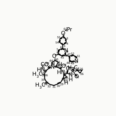 CC(C)Oc1ccc(-c2cc(O[C@@H]3C[C@H]4C(=O)N[C@]5(C(=O)NS(=O)(=O)C6(C)CC6)C[C@H]5C=CCC[C@@H](C)C[C@@H](C)[C@H](NC(=O)O)C(=O)N4C3)cc(-c3ccncc3)n2)cc1